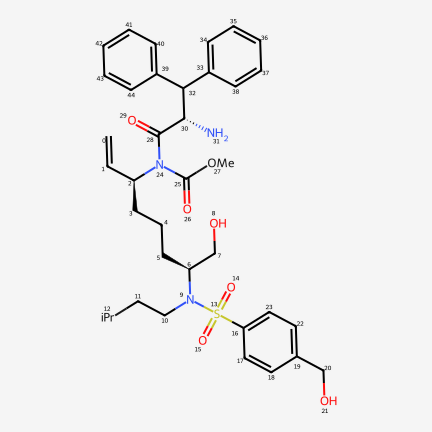 C=C[C@H](CCC[C@@H](CO)N(CCC(C)C)S(=O)(=O)c1ccc(CO)cc1)N(C(=O)OC)C(=O)[C@@H](N)C(c1ccccc1)c1ccccc1